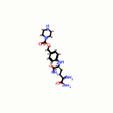 NC(=O)C(N)CC[C@H](Nc1ccc(COC(=O)N2CCNCC2)cc1)C(N)=O